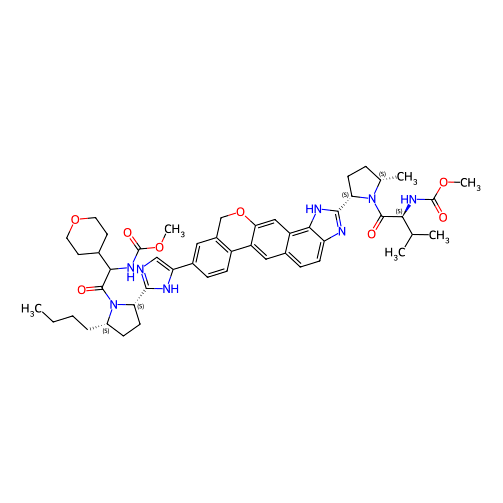 CCCC[C@H]1CC[C@@H](c2ncc(-c3ccc4c(c3)COc3cc5c(ccc6nc([C@@H]7CC[C@H](C)N7C(=O)[C@@H](NC(=O)OC)C(C)C)[nH]c65)cc3-4)[nH]2)N1C(=O)C(NC(=O)OC)C1CCOCC1